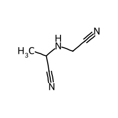 CC(C#N)NCC#N